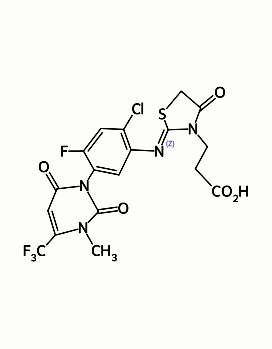 Cn1c(C(F)(F)F)cc(=O)n(-c2cc(/N=C3\SCC(=O)N3CCC(=O)O)c(Cl)cc2F)c1=O